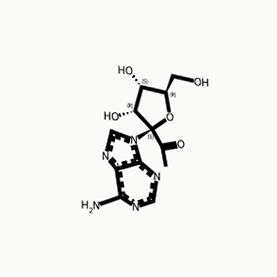 CC(=O)[C@@]1(n2cnc3c(N)ncnc32)O[C@H](CO)[C@@H](O)[C@H]1O